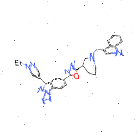 CCn1cc(-c2n[nH]c3ccc(-c4nnc([C@@H]5CCCN(Cc6cn(C)c7ccccc67)C5)o4)cc23)cn1